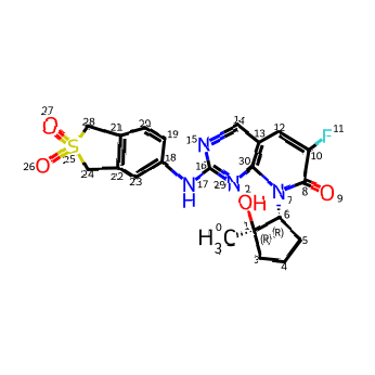 C[C@@]1(O)CCC[C@H]1n1c(=O)c(F)cc2cnc(Nc3ccc4c(c3)CS(=O)(=O)C4)nc21